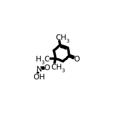 CC1=CC(=O)CC(C)(C)C1.O=NO